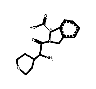 NC(C(=O)N1Cc2ccccc2[C@H]1C(=O)O)C1CCOCC1